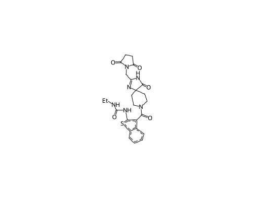 CCNC(=O)Nc1sc2ccccc2c1C(=O)N1CCC2(CC1)N=C(CN1C(=O)CCC1=O)NC2=O